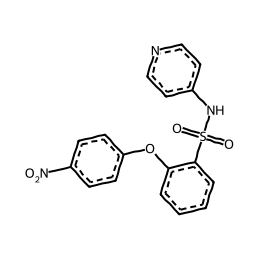 O=[N+]([O-])c1ccc(Oc2ccccc2S(=O)(=O)Nc2ccncc2)cc1